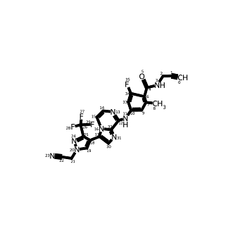 C#CCNC(=O)c1c(C)cc(Nc2nccn3c(-c4cn(CC#N)nc4C(F)(F)F)cnc23)cc1F